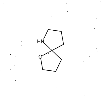 C1CNC2(C1)CCCO2